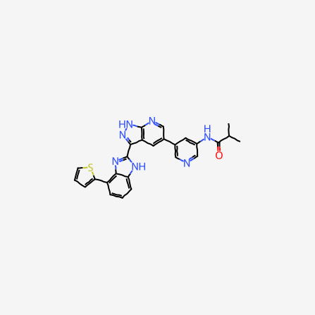 CC(C)C(=O)Nc1cncc(-c2cnc3[nH]nc(-c4nc5c(-c6cccs6)cccc5[nH]4)c3c2)c1